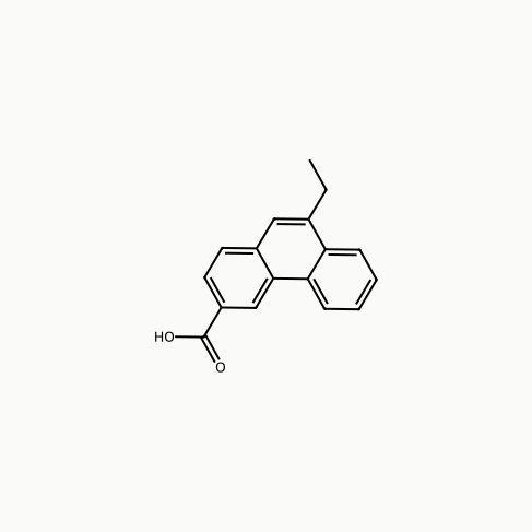 CCc1cc2ccc(C(=O)O)cc2c2ccccc12